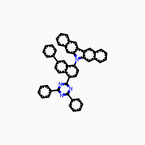 c1ccc(-c2ccc3c(-c4nc(-c5ccccc5)nc(-c5ccccc5)n4)ccc(-n4c5cc6ccccc6cc5c5cc6ccccc6cc54)c3c2)cc1